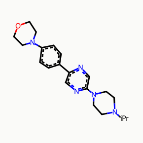 CC(C)N1CCN(c2cnc(-c3ccc(N4CCOCC4)cc3)cn2)CC1